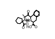 C[C@H](NC1(C(=O)O)CCCCC1)C(=O)C1NC(C(=O)O)Cc2ccccc21